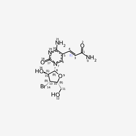 NC(=O)/C=C/c1cn([C@@H]2O[C@H](CO)[C@H](Br)[C@H]2O)c(=O)nc1N